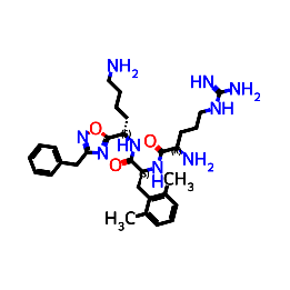 Cc1cccc(C)c1C[C@H](NC(=O)[C@H](N)CCCNC(=N)N)C(=O)N[C@@H](CCCCN)c1nc(Cc2ccccc2)no1